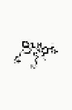 COC(=O)c1cc(OC)c2c(c1)nc(-c1cc3cccc4c3n1CCN4CCCO)n2OCCCO